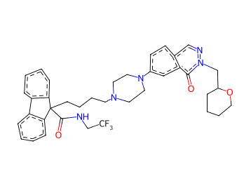 O=C(NCC(F)(F)F)C1(CCCCN2CCN(c3ccc4cnn(CC5CCCCO5)c(=O)c4c3)CC2)c2ccccc2-c2ccccc21